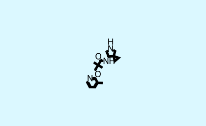 Cc1cccnc1OCC(C)(C)C(=O)NC1CNCC12CC2